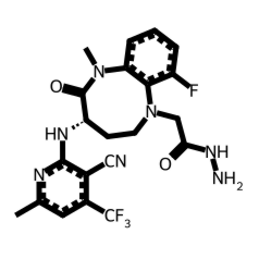 Cc1cc(C(F)(F)F)c(C#N)c(N[C@H]2CCN(CC(=O)NN)c3c(F)cccc3N(C)C2=O)n1